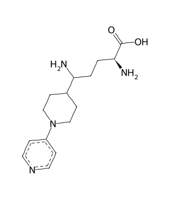 NC(CC[C@H](N)C(=O)O)C1CCN(c2ccncc2)CC1